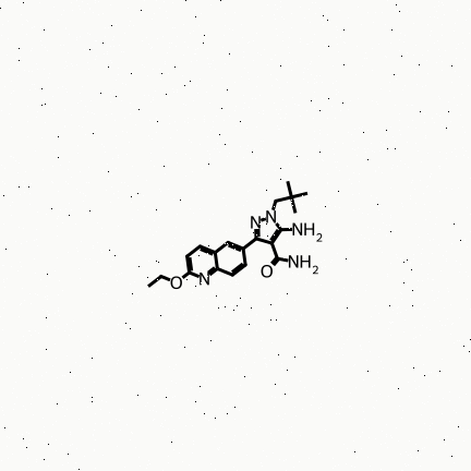 CCOc1ccc2cc(-c3nn(CC(C)(C)C)c(N)c3C(N)=O)ccc2n1